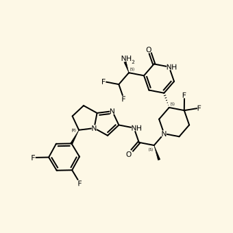 C[C@@H](C(=O)Nc1cn2c(n1)CC[C@@H]2c1cc(F)cc(F)c1)N1CCC(F)(F)[C@@H](c2c[nH]c(=O)c([C@H](N)C(F)F)c2)C1